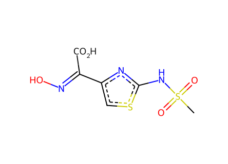 CS(=O)(=O)Nc1nc(C(=NO)C(=O)O)cs1